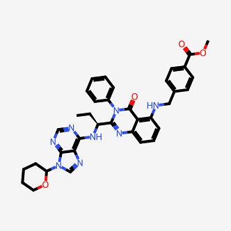 CC[C@H](Nc1ncnc2c1ncn2C1CCCCO1)c1nc2cccc(NCc3ccc(C(=O)OC)cc3)c2c(=O)n1-c1ccccc1